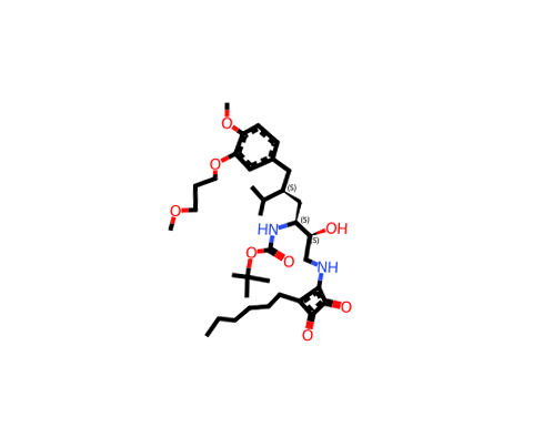 CCCCCCc1c(NC[C@H](O)[C@H](C[C@H](Cc2ccc(OC)c(OCCCOC)c2)C(C)C)NC(=O)OC(C)(C)C)c(=O)c1=O